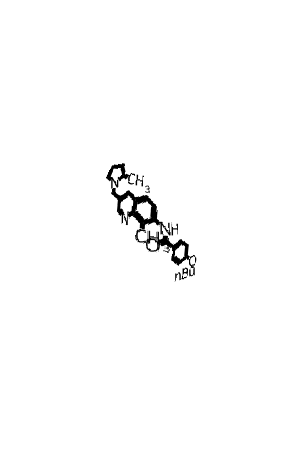 CCCCOc1ccc(C(=O)Nc2ccc3cc(CN4CCCC4C)cnc3c2C)cc1